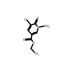 Cn1cc(C(=O)OCC(F)(F)F)cc(Cl)c1=O